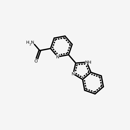 NC(=O)c1cccc(-c2nc3ccccc3[nH]2)n1